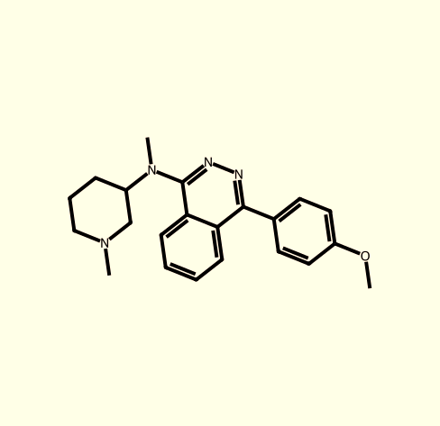 COc1ccc(-c2nnc(N(C)C3CCCN(C)C3)c3ccccc23)cc1